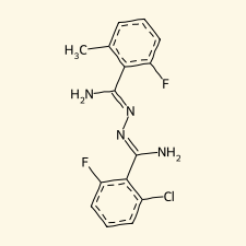 Cc1cccc(F)c1/C(N)=N/N=C(\N)c1c(F)cccc1Cl